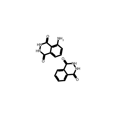 Nc1cccc2c(=O)[nH][nH]c(=O)c12.O=c1[nH][nH]c(=O)c2ccccc12